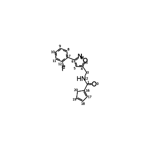 O=C(NCc1cc(-c2ccccc2F)no1)C1=CC=CC1